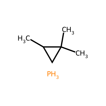 CC1CC1(C)C.P